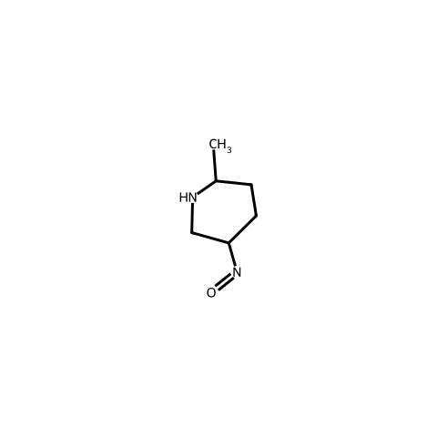 CC1CCC(N=O)CN1